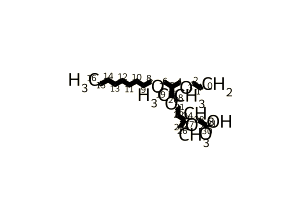 C=CCOCC(COCCCCCCCCC)C(C)(C)OCCC(C)(CC)OCC(=O)O